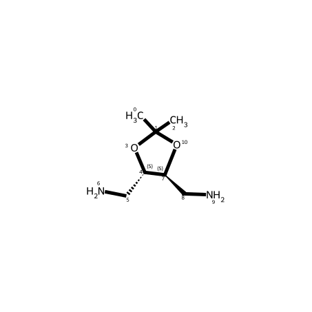 CC1(C)O[C@@H](CN)[C@H](CN)O1